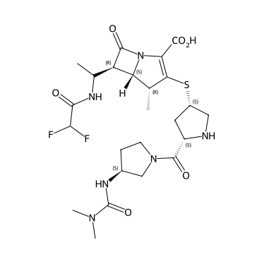 CC(NC(=O)C(F)F)[C@H]1C(=O)N2C(C(=O)O)=C(S[C@@H]3CN[C@H](C(=O)N4CC[C@H](NC(=O)N(C)C)C4)C3)[C@H](C)[C@H]12